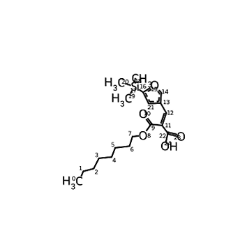 CCCCCCCCOC(=O)C(=Cc1coc([Si](C)(C)C)c1)C(=O)O